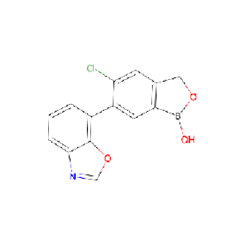 OB1OCc2cc(Cl)c(-c3cccc4ncoc34)cc21